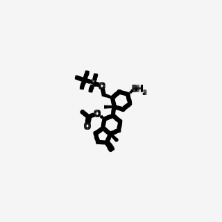 B[C@@H]1CC[C@](C)(C2CC[C@]3(C)C(=C)CCC3[C@@H]2OC(C)=O)[C@@H](CO[Si](C)(C)C(C)(C)C)C1